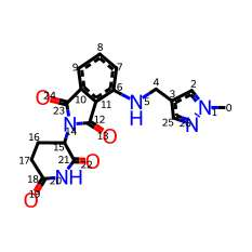 Cn1cc(CNc2cccc3c2C(=O)N(C2CCC(=O)NC2=O)C3=O)cn1